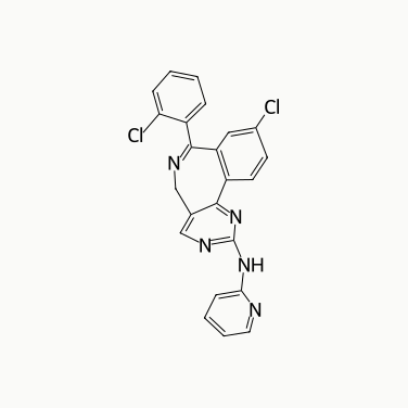 Clc1ccc2c(c1)C(c1ccccc1Cl)=NCc1cnc(Nc3ccccn3)nc1-2